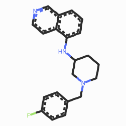 Fc1ccc(CN2CCCC(Nc3cccc4cnccc34)C2)cc1